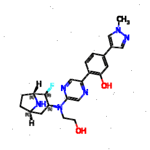 Cn1cc(-c2ccc(-c3cnc(N(CCO)[C@H]4C[C@@H]5CC[C@@H](N5)[C@H]4F)cn3)c(O)c2)cn1